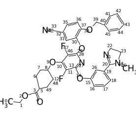 CCOC(=O)C1CCC(Oc2c(F)c(Oc3cccc(C4=NCCN4C)c3)nc(Oc3cc(C#N)ccc3OCc3ccccc3)c2F)CC1